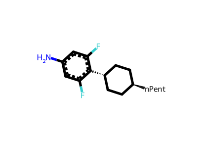 CCCCC[C@H]1CC[C@H](c2c(F)cc(N)cc2F)CC1